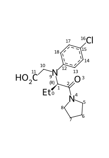 CC[C@H](C(=O)N1CCCC1)N(CC(=O)O)c1ccc(Cl)cc1